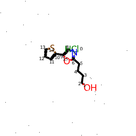 Cl.OCCCCc1ncc(-c2cccs2)o1